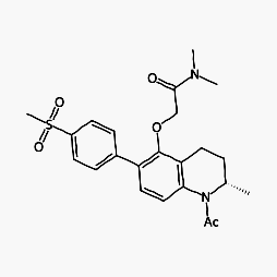 CC(=O)N1c2ccc(-c3ccc(S(C)(=O)=O)cc3)c(OCC(=O)N(C)C)c2CC[C@@H]1C